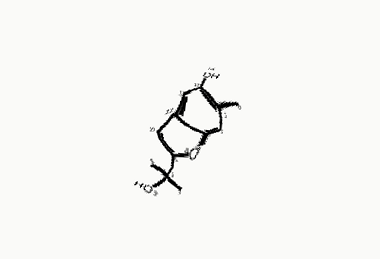 Cc1cc2oc(C(C)(C)O)cc2cc1O